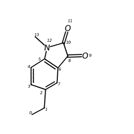 CCc1ccc2c(c1)C(=O)C(=O)N2C